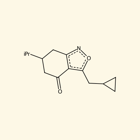 CC(C)C1CC(=O)c2c(noc2CC2CC2)C1